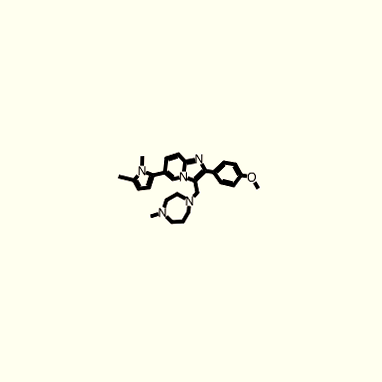 COc1ccc(-c2nc3ccc(-c4ccc(C)n4C)cn3c2CN2CCCN(C)CC2)cc1